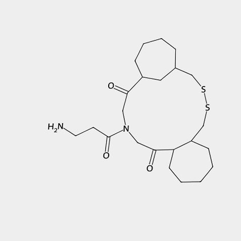 NCCC(=O)N1CC(=O)C2CCCCC(CSSCC3CCCCCC3C(=O)C1)C2